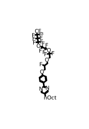 CCCCCCCCc1cnc(-c2ccc(OCC(F)COCC(F)(F)OC(F)(F)C(F)(F)OC(F)(F)C(F)(F)C(F)(F)C(F)(F)F)cc2)nc1